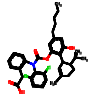 C=C(C)C1CCC(C)=CC1c1c(O)cc(CCCCC)cc1OC(=O)N(c1ccccc1CC(=O)O)c1c(Cl)cccc1Cl